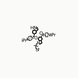 CC(C)N1CCN(C(=O)c2ccc3[nH]ccc3c2)CC1.CC(C)N1CCN(C(=O)c2ccc3c(ccn3CC(C)(C)CN(C)C)c2)CC1